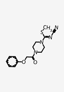 CSC(=NC#N)N1CCN(C(=O)COc2ccccc2)CC1